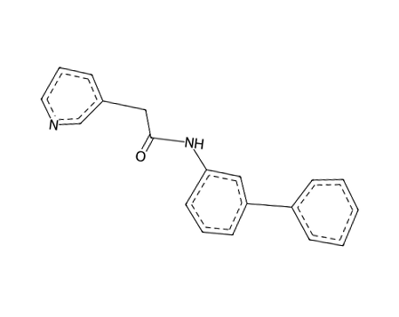 O=C(Cc1cccnc1)Nc1cccc(-c2ccccc2)c1